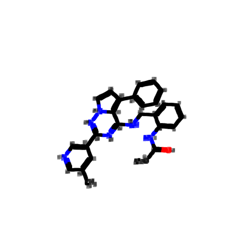 COC(=O)Nc1ccccc1CNc1nc(-c2cncc(C)c2)nn2ccc(-c3ccccc3)c12